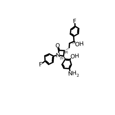 Nc1ccc([C@@H]2[C@@H](CC[C@H](O)c3ccc(F)cc3)C(=O)N2c2ccc(F)cc2)c(O)c1